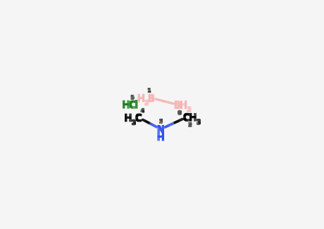 BB.CNC.Cl